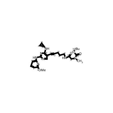 COc1cccc(Nc2ncc(C#CCCCNC(=O)CN(C)C(=O)OC(C)(C)C)c(NC3CC3)n2)n1